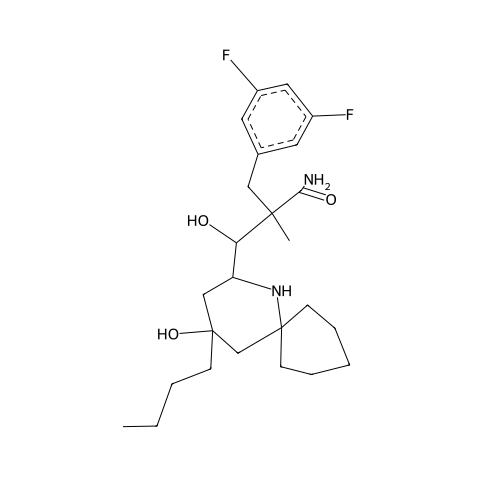 CCCCC1(O)CC(C(O)C(C)(Cc2cc(F)cc(F)c2)C(N)=O)NC2(CCCCC2)C1